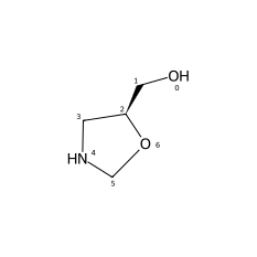 OC[C@@H]1CNCO1